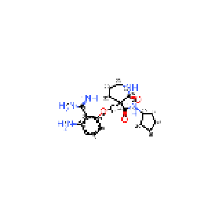 N=C(N)c1c(N)cccc1OCC1(C(=O)NC2CCCC2)CCCNC1=O